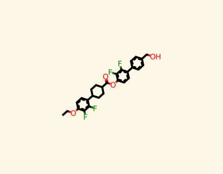 CCOc1ccc(C2CCC(C(=O)Oc3ccc(-c4ccc(CO)cc4)c(F)c3F)CC2)c(F)c1F